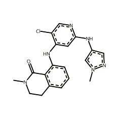 CN1CCc2cccc(Nc3cc(Nc4cnn(C)c4)ncc3Cl)c2C1=O